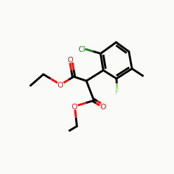 CCOC(=O)C(C(=O)OCC)c1c(Cl)ccc(C)c1F